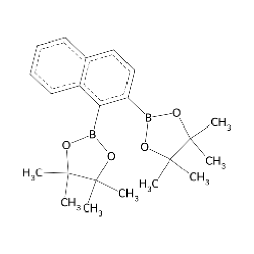 CC1(C)OB(c2ccc3ccccc3c2B2OC(C)(C)C(C)(C)O2)OC1(C)C